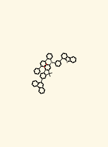 CC1(C)c2cc(-c3cc4ccccc4c4ccccc34)ccc2-c2ccc(N(c3cccc(-c4cccc5c4sc4ccccc45)c3)c3ccccc3-c3ccc(-c4ccccc4)cc3)cc21